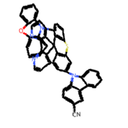 N#Cc1ccc2c(c1)c1ccccc1n2-c1ccc2c(c1)Sc1cccc(N3c4ccccc4Oc4ccccc43)c1C21c2cccnc2-c2ncccc21